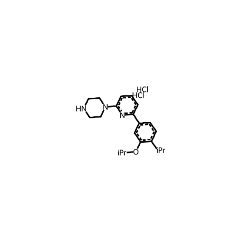 CC(C)Oc1cc(-c2cccc(N3CCNCC3)n2)ccc1C(C)C.Cl.Cl